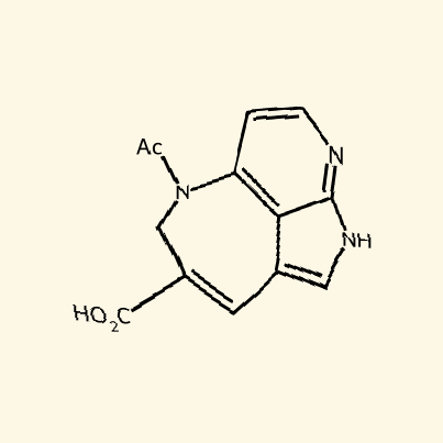 CC(=O)N1CC(C(=O)O)=Cc2c[nH]c3nccc1c23